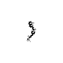 CCOC(=O)CCCC1CCN(C(=O)CCc2ccc3c(n2)NCCC3)CC1